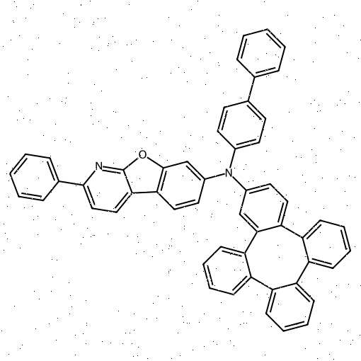 c1ccc(-c2ccc(N(c3ccc4c(c3)-c3ccccc3-c3ccccc3-c3ccccc3-4)c3ccc4c(c3)oc3nc(-c5ccccc5)ccc34)cc2)cc1